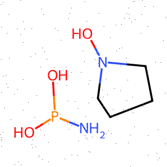 NP(O)O.ON1CCCC1